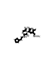 CC(=O)NCc1cc(-n2c(C)cnc(NCCC3CCCC3)c2=O)c(N)nc1C